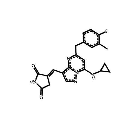 Cc1cc(Cc2cc(NC3CC3)n3ncc(/C=C4\CC(=O)NC4=O)c3n2)ccc1F